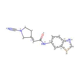 N#CN1CC/C(=C\C(=O)Nc2ccc3ncsc3c2)C1